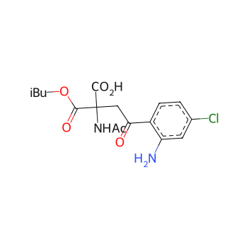 CCC(C)OC(=O)C(CC(=O)c1ccc(Cl)cc1N)(NC(C)=O)C(=O)O